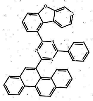 c1ccc(-c2nc(-c3cccc4oc5cnccc5c34)nc(-c3cc4ccccc4c4ccc5ccccc5c34)n2)cc1